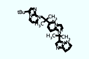 CC(C)(C)c1cnc2n1ccc[n+]2CC(C)(C)c1ccc2n(cc[n+]2C(C)(C)c2cnc3cccnn23)n1